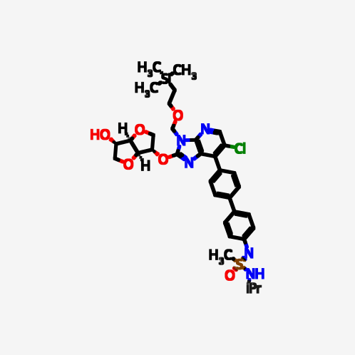 CC(C)NS(C)(=O)=Nc1ccc(-c2ccc(-c3c(Cl)cnc4c3nc(O[C@@H]3CO[C@H]5[C@@H]3OC[C@H]5O)n4COCC[Si](C)(C)C)cc2)cc1